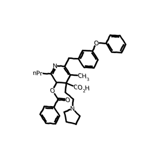 CCCC1=NC(Cc2cccc(Oc3ccccc3)c2)=C(C)C(CCN2CCCC2)(C(=O)O)C1OC(=O)c1ccccc1